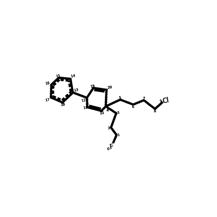 FCCCC1(CCCCCl)C=CC(c2ccccc2)C=C1